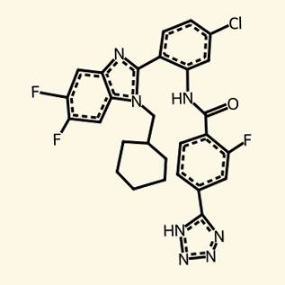 O=C(Nc1cc(Cl)ccc1-c1nc2cc(F)c(F)cc2n1CC1CCCCC1)c1ccc(-c2nnn[nH]2)cc1F